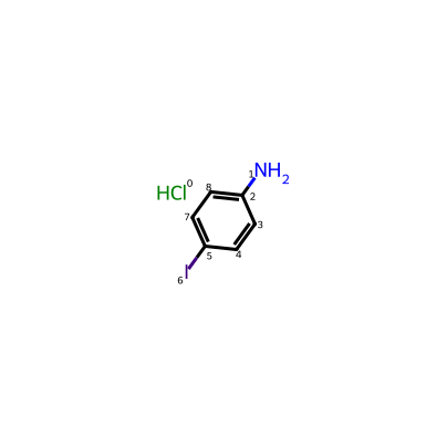 Cl.Nc1ccc(I)cc1